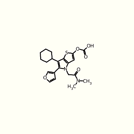 CN(C)C(=O)Cn1c(-c2ccoc2)c(C2CCCCC2)c2sc(OC(=O)O)cc21